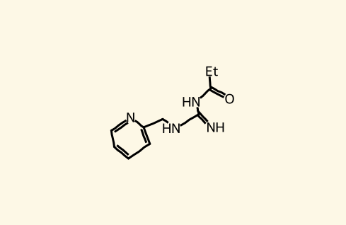 CCC(=O)NC(=N)NCc1ccccn1